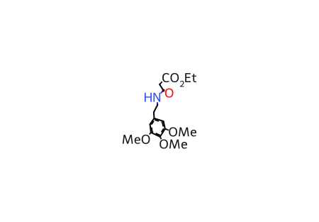 CCOC(=O)CC(=O)NCCc1cc(OC)c(OC)c(OC)c1